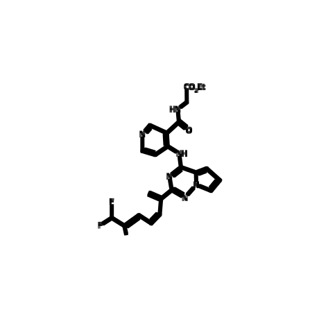 C=C(/C=C\C=C(/C)C(F)F)c1nc(Nc2ccncc2C(=O)NCC(=O)OCC)c2cccn2n1